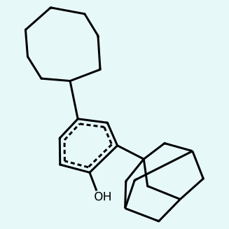 Oc1ccc(C2CCCCCCC2)cc1C12CC3CC(CC(C3)C1)C2